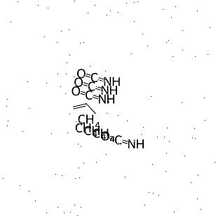 C.C.C.C.C=CC.N=C=O.N=C=O.N=C=O.N=C=O